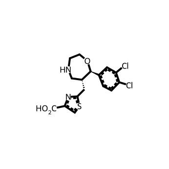 O=C(O)c1csc(C[C@@H]2CNCCO[C@H]2c2ccc(Cl)c(Cl)c2)n1